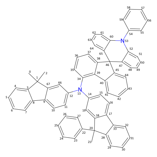 CC1(C)c2ccccc2-c2ccc(N(c3ccc4c(c3)C(C)(c3ccccc3)c3ccccc3-4)c3cccc4c3-c3ccccc3C43c4ccccc4N(c4ccccc4)c4ccccc43)cc21